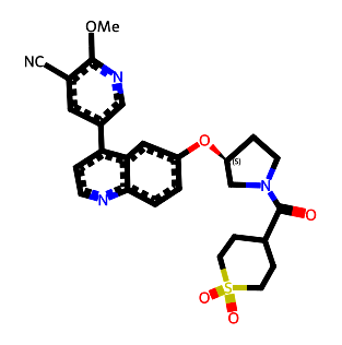 COc1ncc(-c2ccnc3ccc(O[C@H]4CCN(C(=O)C5CCS(=O)(=O)CC5)C4)cc23)cc1C#N